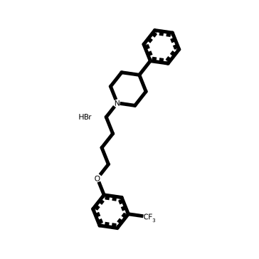 Br.FC(F)(F)c1cccc(OCCCCN2CCC(c3ccccc3)CC2)c1